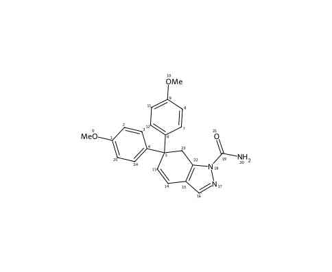 COc1ccc(C2(c3ccc(OC)cc3)C=Cc3[c]nn(C(N)=O)c3C2)cc1